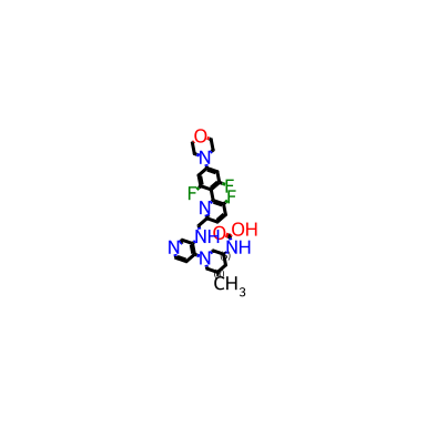 C[C@@H]1C[C@H](NC(=O)O)CN(c2ccncc2NCc2ccc(F)c(-c3c(F)cc(N4CCOCC4)cc3F)n2)C1